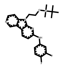 CC(C)(C)[Si](C)(C)OCCn1c2ccncc2c2ccc(Nc3ccc(F)c(F)c3)nc21